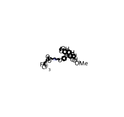 COCO[C@H]1CC[C@H]2[C@@H]3CC[C@H]4CC5(CC[C@]4(C)[C@H]3[C@@H](c3ccc(OC/C=C/CCS(=O)(=O)CCCC(F)(F)C(F)(F)F)cc3)C[C@]12C)OCCO5